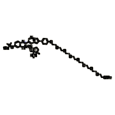 CCc1cc(O[Si](C)(C)C(C)(C)C)ccc1/N=C(\N)c1cnn2cc(-c3ccc(OCCOCCOCCOCCOCCOCCOCCOCCOC)cc3)cc2c1N[C@@H]1CC[C@](C)(N)C1(C)C